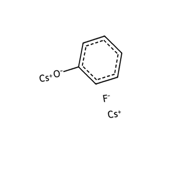 [Cs+].[Cs+].[F-].[O-]c1ccccc1